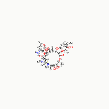 CC[C@H]1OC(=O)[C@H](C)[C@@H](O[C@H]2C[C@@](C)(OC)[C@@H](O)[C@H](C)O2)[C@H](C)[C@@H](O[C@@H]2O[C@H](C)C[C@H](N(C)C)[C@H]2OC(=O)C2CSC(C)(C)N2C(C)=O)[C@](C)(O)C[C@@H](C)CN(C)[C@H](C)[C@@H](O)[C@]1(C)O